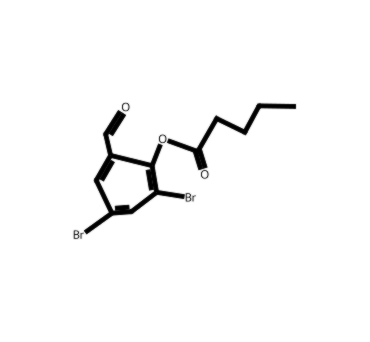 CCC[CH]C(=O)Oc1c(Br)cc(Br)cc1C=O